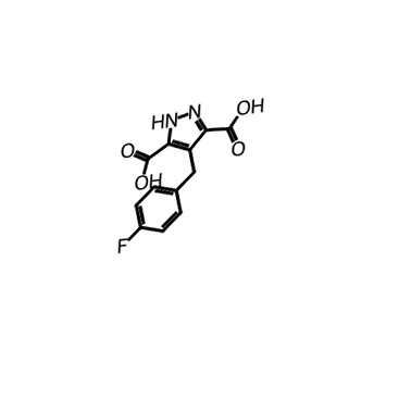 O=C(O)c1n[nH]c(C(=O)O)c1Cc1ccc(F)cc1